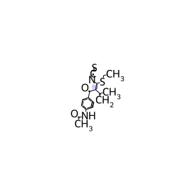 C=C(C)/C(C(=O)c1c#cc(NC(C)=O)cc1)=C(/N=C=S)SCC